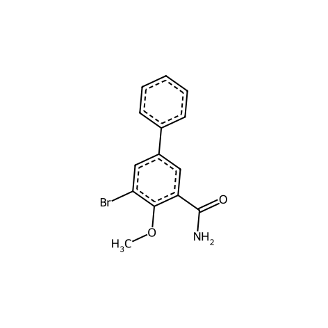 COc1c(Br)cc(-c2ccccc2)cc1C(N)=O